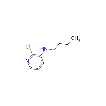 CCCCNc1cccnc1Cl